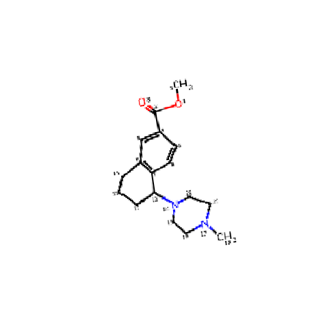 COC(=O)c1ccc2c(c1)CCCC2N1CCN(C)CC1